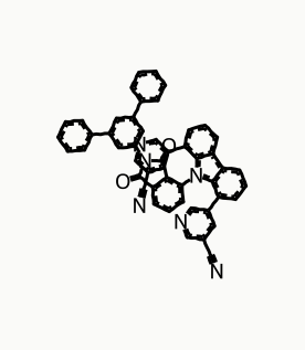 N#Cc1cncc(-c2cccc3c4cccc(-c5cncc(C#N)c5)c4n(-c4cccc5c4C(=O)N(c4cc(-c6ccccc6)cc(-c6ccccc6)c4)C5=O)c23)c1